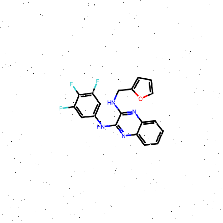 Fc1cc(Nc2nc3ccccc3nc2NCc2ccco2)cc(F)c1F